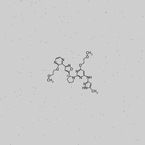 COCCOc1cc(Nc2cc(C)[nH]n2)nc(N2CCC[C@H]2c2cc(-c3nccnc3OCCOC)no2)n1